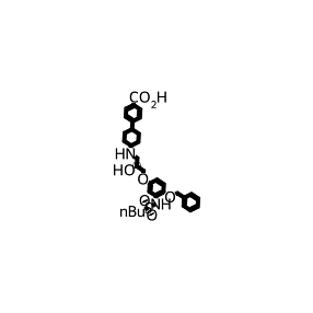 CCCCS(=O)(=O)Nc1cc(OC[C@@H](O)CNC2CCC(c3ccc(C(=O)O)cc3)CC2)ccc1OCc1ccccc1